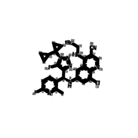 Cc1nc(F)ccc1[C@H](Nc1cc(Cl)c2ncc(C#N)c(NCC(C)(C)C)c2c1)c1nnn(C2(C3CC3)CC2)c1F